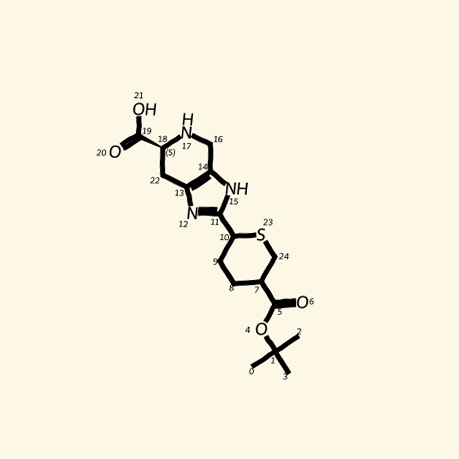 CC(C)(C)OC(=O)C1CCC(c2nc3c([nH]2)CN[C@H](C(=O)O)C3)SC1